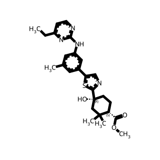 CCc1ccnc(Nc2cc(C)cc(-c3cnc([C@@]4(O)CC[C@H](C(=O)OC)C(C)(C)C4)s3)c2)n1